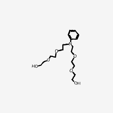 OCCOCCOCCN(CCOCCOCCO)c1ccccc1